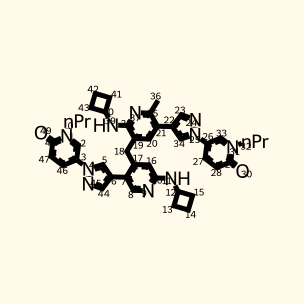 CCCn1cc(-n2cc(-c3cnc(NC4CCC4)cc3Cc3cc(-c4cnn(-c5ccc(=O)n(CCC)c5)c4)c(C)nc3NC3CCC3)cn2)ccc1=O